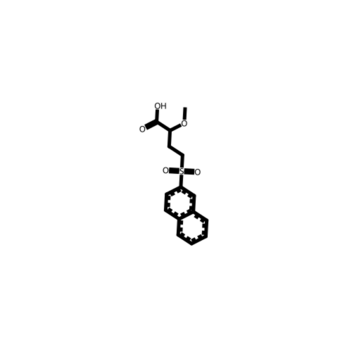 COC(CCS(=O)(=O)c1ccc2ccccc2c1)C(=O)O